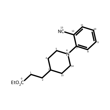 CCOC(=O)CCC1CCN(c2ccccc2C#N)CC1